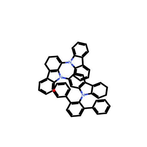 C1=C(n2c3ccccc3c3ccccc32)c2c(c3ccccc3n2-c2ccc3c4c(n(-c5c(-c6ccccc6)cccc5-c5ccccc5)c3c2)=CCCC=4)CC1